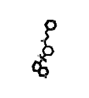 O=S(=O)(c1cccc2cnccc12)N1CCCC(NCCc2ccccc2)C1